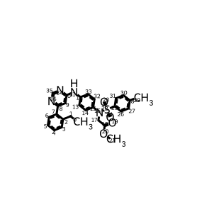 CCc1ccccc1-c1cc(Nc2ccc(N(CC(=O)OC)S(=O)(=O)c3ccc(C)cc3)cc2)ncn1